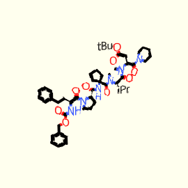 CC(C)[C@@H](C(=O)N(C)[C@@H](CC(=O)OC(C)(C)C)C(=O)N1CCCCC1)N(C)C(=O)C1(NC(=O)[C@@H]2CCCN2C(=O)[C@H](CCc2ccccc2)NC(=O)OCc2ccccc2)CCCC1